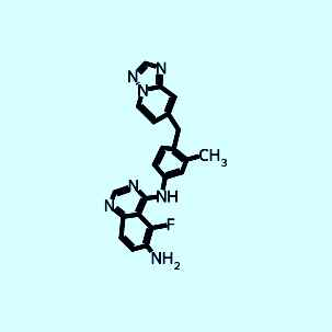 Cc1cc(Nc2ncnc3ccc(N)c(F)c23)ccc1Cc1ccn2ncnc2c1